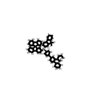 CC1(C)c2ccccc2-c2ccc(N(c3ccc(-c4ccc(-c5ccccc5)c(-c5ccccc5)c4)cc3)c3ccc4c(c3)C3(c5ccccc5-c5ccccc53)c3ccccc3-4)cc21